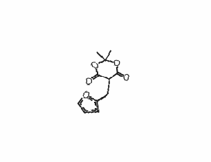 CC1(C)OC(=O)C(Cc2ccco2)C(=O)O1